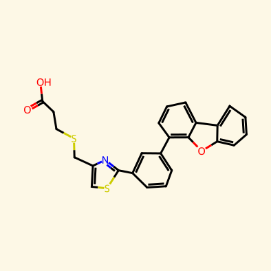 O=C(O)CCSCc1csc(-c2cccc(-c3cccc4c3oc3ccccc34)c2)n1